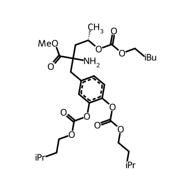 CCC(C)COC(=O)O[C@@H](C)CC(N)(Cc1ccc(OC(=O)OCCC(C)C)c(OC(=O)OCCC(C)C)c1)C(=O)OC